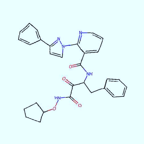 O=C(NOC1CCCC1)C(=O)C(Cc1ccccc1)NC(=O)c1cccnc1-n1ccc(-c2ccccc2)n1